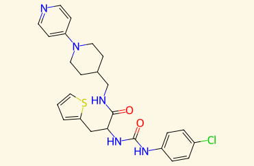 O=C(Nc1ccc(Cl)cc1)NC(Cc1cccs1)C(=O)NCC1CCN(c2ccncc2)CC1